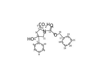 O=C(O)[C@@H]1CC(O)(c2ccccc2)CN1C(=O)OCc1ccccc1